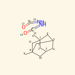 CC12CC3CC(C1)CC(C)(C3)C2.N=C=O.N=C=O